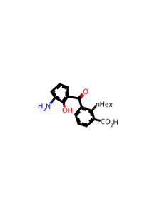 CCCCCCc1c(C(=O)O)cccc1C(=O)c1cccc(N)c1O